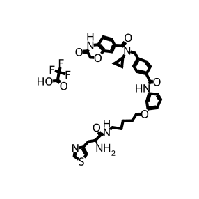 N[C@@H](Cc1cscn1)C(=O)NCCCCCOc1cccc(NC(=O)c2ccc(CN(C(=O)c3ccc4c(c3)OCC(=O)N4)C3CC3)cc2)c1.O=C(O)C(F)(F)F